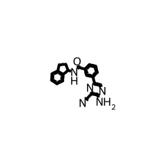 N#Cc1nc(-c2cccc(C(=O)NC3CCc4ccccc43)c2)cnc1N